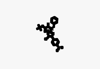 CC(C)(C)OC(=O)N[C@@H](Cc1ccccc1)c1nc(-c2ccc([N+](=O)[O-])cc2)c(Cl)[nH]1